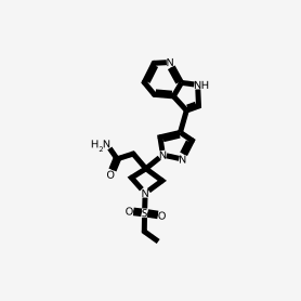 CCS(=O)(=O)N1CC(CC(N)=O)(n2cc(-c3c[nH]c4ncccc34)cn2)C1